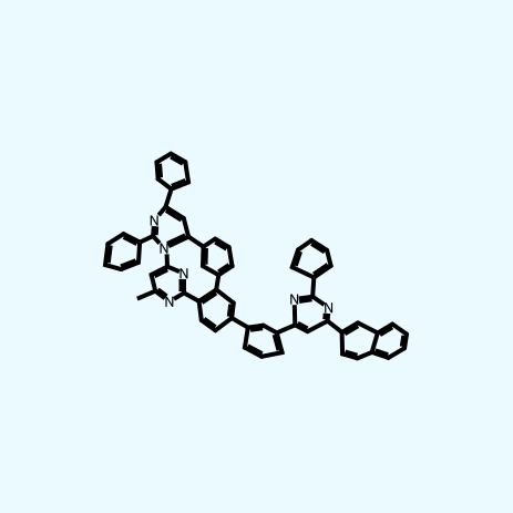 Cc1cc(C)nc(-c2ccc(-c3cccc(-c4cc(-c5ccc6ccccc6c5)nc(-c5ccccc5)n4)c3)cc2-c2cccc(-c3cc(-c4ccccc4)nc(-c4ccccc4)n3)c2)n1